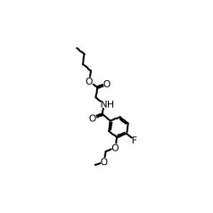 CCCCOC(=O)CNC(=O)c1ccc(F)c(OCOC)c1